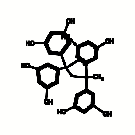 CC(CC(CCl)(c1cc(O)cc(O)c1)c1cc(O)cc(O)c1)(c1cc(O)cc(O)c1)c1cc(O)cc(O)c1